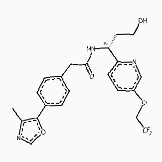 Cc1ncoc1-c1ccc(CC(=O)N[C@H](CCO)c2ccc(OCC(F)(F)F)cn2)cc1